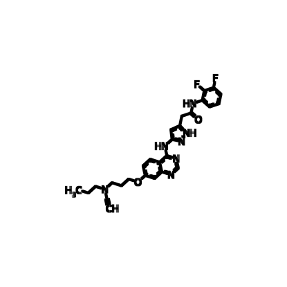 C#CN(CCC)CCCOc1ccc2c(Nc3cc(CC(=O)Nc4cccc(F)c4F)[nH]n3)ncnc2c1